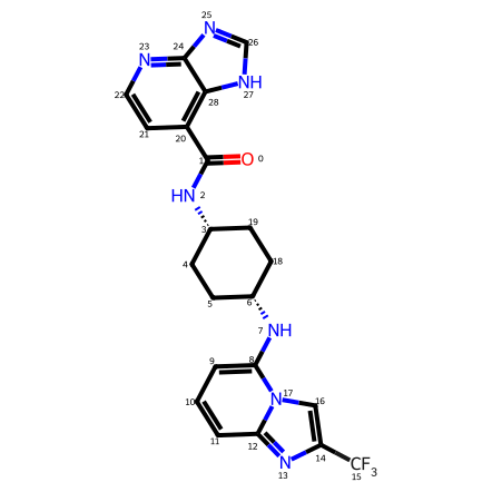 O=C(N[C@H]1CC[C@@H](Nc2cccc3nc(C(F)(F)F)cn23)CC1)c1ccnc2nc[nH]c12